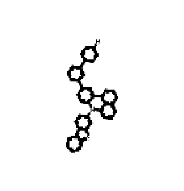 Brc1ccc(-c2cccc(-c3ccc4c(c3)-c3cccc5cccc(c35)N4c3ccc4c(c3)sc3ccccc34)c2)cc1